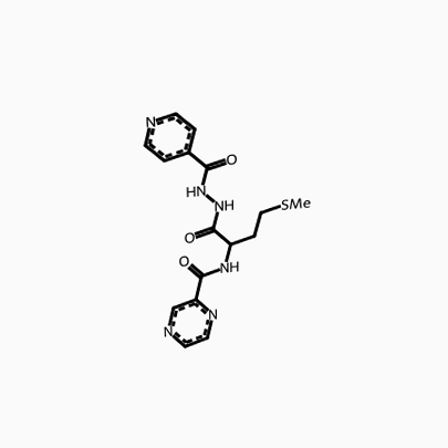 CSCCC(NC(=O)c1cnccn1)C(=O)NNC(=O)c1ccncc1